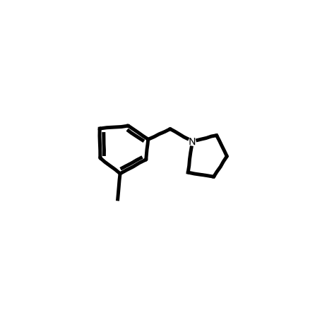 Cc1cccc(CN2CCCC2)c1